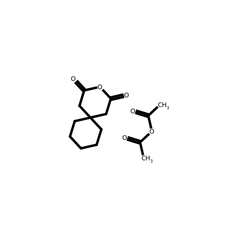 CC(=O)OC(C)=O.O=C1CC2(CCCCC2)CC(=O)O1